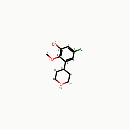 COc1c(Br)cc(Cl)cc1C1CCOCC1